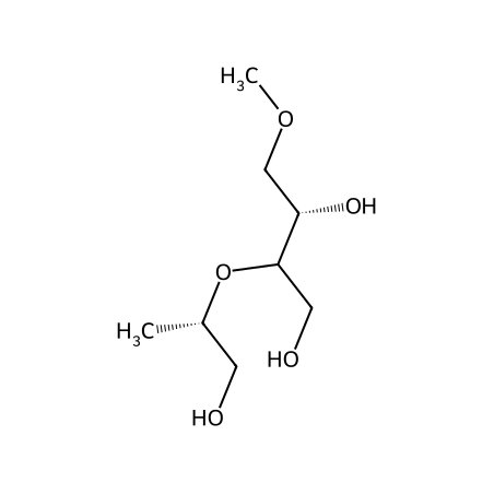 COC[C@H](O)C(CO)O[C@@H](C)CO